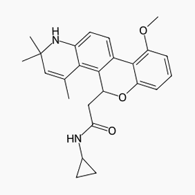 COc1cccc2c1-c1ccc3c(c1C(CC(=O)NC1CC1)O2)C(C)=CC(C)(C)N3